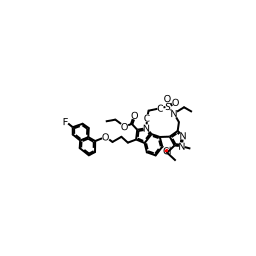 CCOC(=O)c1c(CCCOc2cccc3cc(F)ccc23)c2ccc(Cl)c3c2n1CCCS(=O)(=O)N(CC)Cc1nn(C)c(CC)c1-3